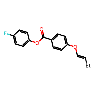 CCC=COc1ccc(C(=O)Oc2ccc(F)cc2)cc1